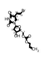 C=CCOC(=O)OC[C@H]1O[C@@H](n2cc(C=CBr)c(=O)[nH]c2=O)C[C@@H]1O